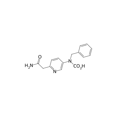 NC(=O)Cc1ccc(N(Cc2ccccc2)C(=O)O)cn1